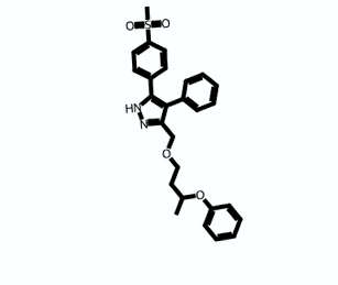 CC(CCOCc1n[nH]c(-c2ccc(S(C)(=O)=O)cc2)c1-c1ccccc1)Oc1ccccc1